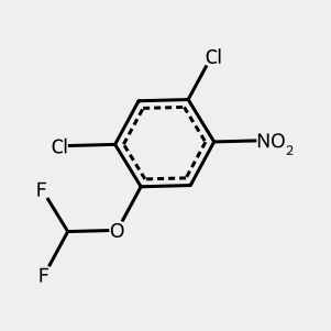 O=[N+]([O-])c1cc(OC(F)F)c(Cl)cc1Cl